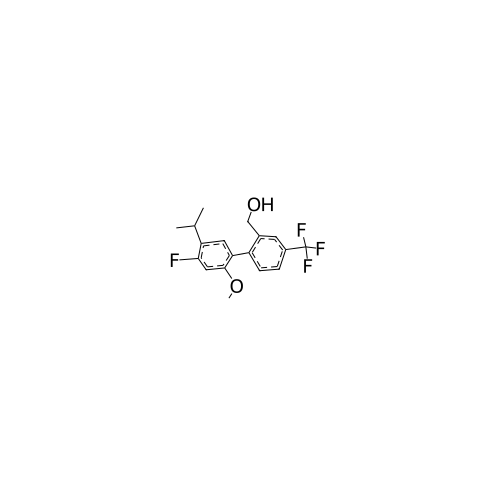 COc1cc(F)c(C(C)C)cc1-c1ccc(C(F)(F)F)cc1CO